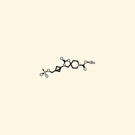 CC(C)(C)OC(=O)N1CCC2(CC1)CN(C13CC(COS(C)(=O)=O)(C1)C3)C(=O)O2